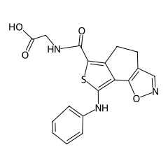 O=C(O)CNC(=O)c1sc(Nc2ccccc2)c2c1CCc1cnoc1-2